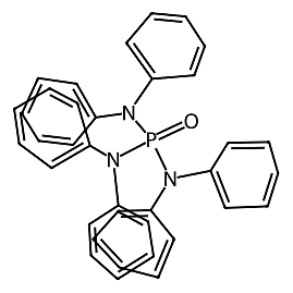 O=P(N(c1ccccc1)c1ccccc1)(N(c1ccccc1)c1ccccc1)N(c1ccccc1)c1ccccc1